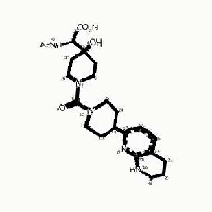 CC(=O)N[C@@H](C(=O)O)C1(O)CCN(C(=O)N2CCC(c3ccc4c(n3)NCCC4)CC2)CC1